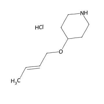 CC=CCOC1CCNCC1.Cl